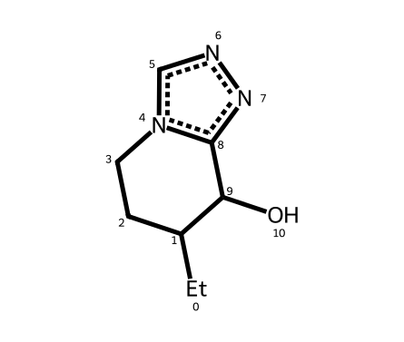 CCC1CCn2cnnc2C1O